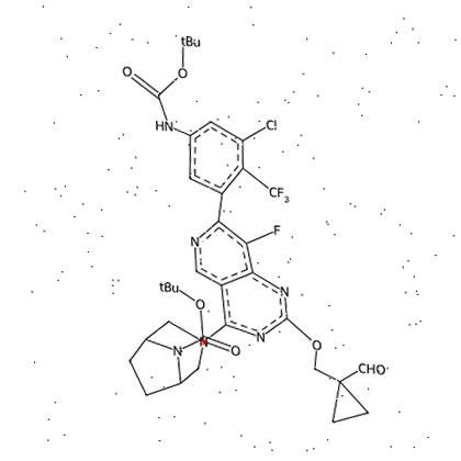 CC(C)(C)OC(=O)Nc1cc(Cl)c(C(F)(F)F)c(-c2ncc3c(N4CC5CCC(C4)N5C(=O)OC(C)(C)C)nc(OCC4(C=O)CC4)nc3c2F)c1